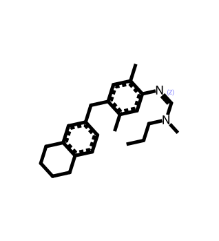 CCCN(C)/C=N\c1cc(C)c(Cc2ccc3c(c2)CCCC3)cc1C